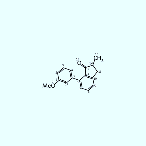 COc1cccc(-c2cccc3c2C(=O)C(C)C3)c1